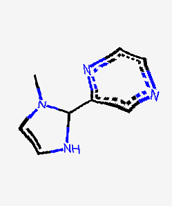 CN1C=CNC1c1cnccn1